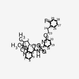 CC1CCN(c2ncccc2C(=O)NS(=O)(=O)c2cccc(OCCc3ccccc3F)n2)C1(C)C